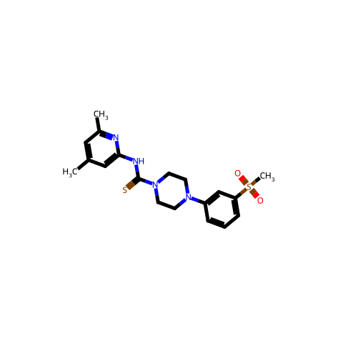 Cc1cc(C)nc(NC(=S)N2CCN(c3cccc(S(C)(=O)=O)c3)CC2)c1